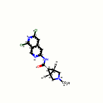 O=C(Nc1cc2cc(Cl)nc(Cl)c2cn1)[C@@H]1[C@@H]2CN(C(=O)O)C[C@@H]21